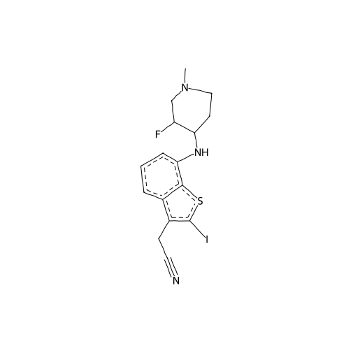 CN1CCC(Nc2cccc3c(CC#N)c(I)sc23)C(F)C1